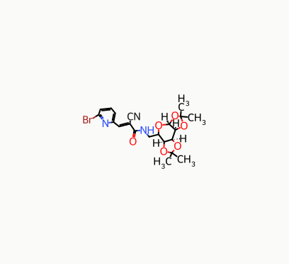 CC1(C)O[C@H]2OC(CNC(=O)/C(C#N)=C/c3cccc(Br)n3)[C@@H]3OC(C)(C)O[C@@H]3[C@@H]2O1